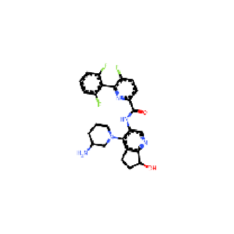 NC1CCCN(c2c(NC(=O)c3ccc(F)c(-c4c(F)cccc4F)n3)cnc3c2CCC3O)C1